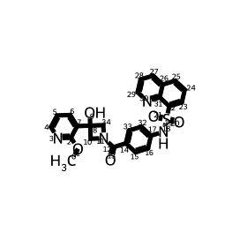 COc1ncccc1C1(O)CN(C(=O)c2ccc(NS(=O)(=O)c3cccc4cccnc34)cc2)C1